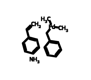 C=Cc1ccccc1.N.[CH3][Pd]([CH3])[CH2]c1ccccc1